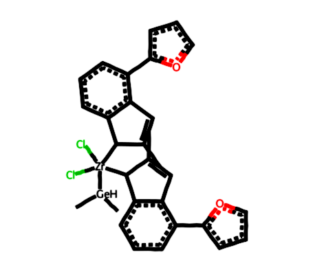 CC1=Cc2c(-c3ccco3)cccc2[CH]1[Zr]([Cl])([Cl])([CH]1C(C)=Cc2c(-c3ccco3)cccc21)[GeH]([CH3])[CH3]